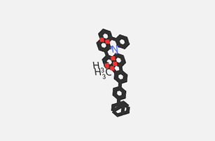 CC1(C)c2cc(-c3ccc(C45CC6CC(CC(C6)C4)C5)cc3)ccc2-c2ccc(N(c3ccccc3-c3ccccc3)c3ccccc3-c3ccccc3)cc21